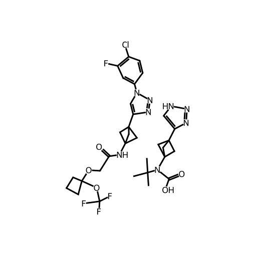 CC(C)(C)N(C(=O)O)C12CC(c3c[nH]nn3)(C1)C2.O=C(COC1(OC(F)(F)F)CCC1)NC12CC(c3cn(-c4ccc(Cl)c(F)c4)nn3)(C1)C2